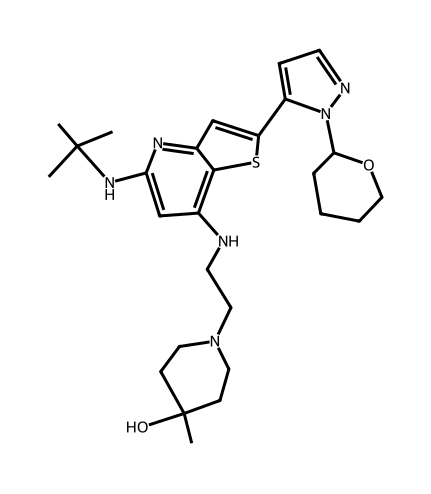 CC1(O)CCN(CCNc2cc(NC(C)(C)C)nc3cc(-c4ccnn4C4CCCCO4)sc23)CC1